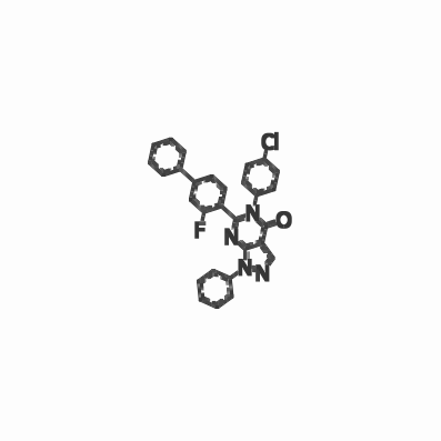 O=c1c2cnn(-c3ccccc3)c2nc(-c2ccc(-c3ccccc3)cc2F)n1-c1ccc(Cl)cc1